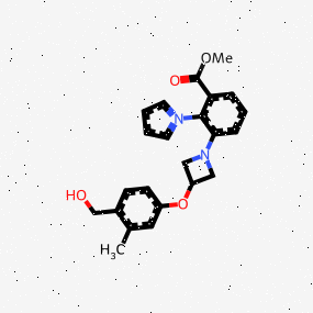 COC(=O)c1cccc(N2CC(Oc3ccc(CO)c(C)c3)C2)c1-n1cccc1